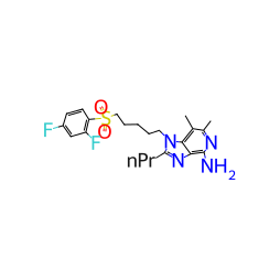 CCCc1nc2c(N)nc(C)c(C)c2n1CCCCCS(=O)(=O)c1ccc(F)cc1F